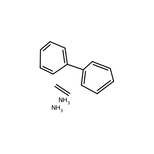 C=C.N.N.c1ccc(-c2ccccc2)cc1